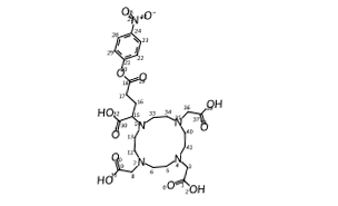 O=C(O)CN1CCN(CC(=O)O)CCN(C(CCC(=O)Oc2ccc([N+](=O)[O-])cc2)C(=O)O)CCN(CC(=O)O)CC1